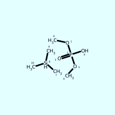 COP(=O)(O)OC.C[SiH](C)C